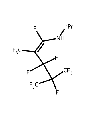 CCCNC(F)=C(C(F)(F)F)C(F)(F)C(F)(C(F)(F)F)C(F)(F)F